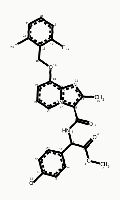 COC(=O)C(NC(=O)c1c(C)nc2c(OCc3c(F)cccc3F)cccn12)c1ccc(Cl)cc1